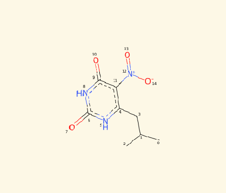 CC(C)Cc1[nH]c(=O)[nH]c(=O)c1[N+](=O)[O-]